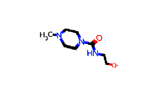 CN1CCN(C(=O)NCC[O])CC1